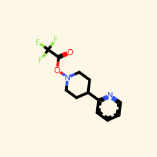 O=C(ON1CCC(c2ccccn2)CC1)C(F)(F)F